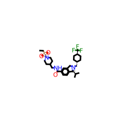 CCS(=O)(=O)N1CCC(CNC(=O)c2ccc3c(c2)CN(C[C@H]2CC[C@H](C(F)(F)F)CC2)[C@H]3C(C)C)CC1